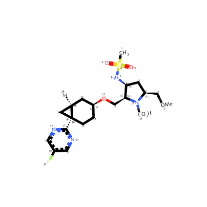 COC[C@@H]1C[C@H](NS(C)(=O)=O)[C@H](CO[C@H]2CC[C@@]3(c4ncc(F)cn4)C[C@H]3C2)N1C(=O)O